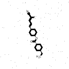 CC[C@H]1CC[C@H](C(=O)O[C@H]2CC[C@H](C=CC=C(F)C#N)CC2)CC1